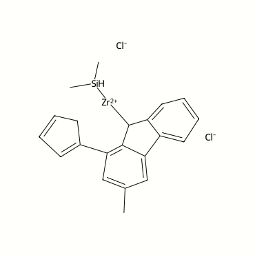 Cc1cc(C2=CC=CC2)c2c(c1)-c1ccccc1[CH]2[Zr+2][SiH](C)C.[Cl-].[Cl-]